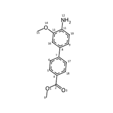 COC(=O)c1ccc(-c2ccc(N)c(OC)c2)cc1